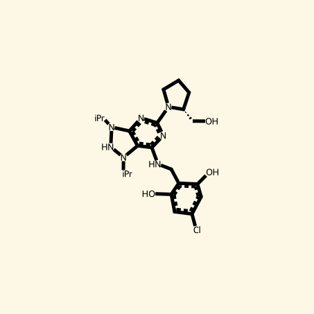 CC(C)N1NN(C(C)C)c2c(NCc3c(O)cc(Cl)cc3O)nc(N3CCC[C@@H]3CO)nc21